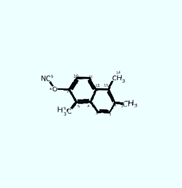 Cc1ccc2c(C)c(OC#N)ccc2c1C